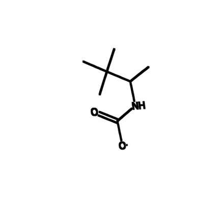 CC(NC([O])=O)C(C)(C)C